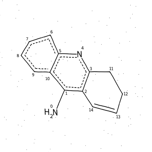 Nc1c2c(nc3ccccc13)CCC=C2